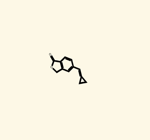 O=C1OCc2cc(C=C3CC3)ccc21